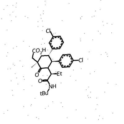 CC[C@@H](C(=O)NC(C)(C)C)C1C(=O)[C@@](C)(CC(=O)O)C[C@H](c2cccc(Cl)c2)[C@H]1c1ccc(Cl)cc1